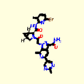 Cc1ncc(-c2cc3c(C(N)=O)nn(CC(=O)N4C[C@H]5C[C@H]5[C@H]4C(=O)Nc4nc(Br)ccc4C)c3c(C)n2)cn1